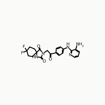 Nc1cccnc1Nc1ccc(C(=O)CN2C(=O)NC3(CCC(F)(F)CC3)C2=O)cc1